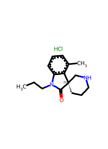 CCCN1C(=O)[C@@]2(CCCNC2)c2c(C)cccc21.Cl